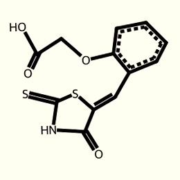 O=C(O)COc1ccccc1C=C1SC(=S)NC1=O